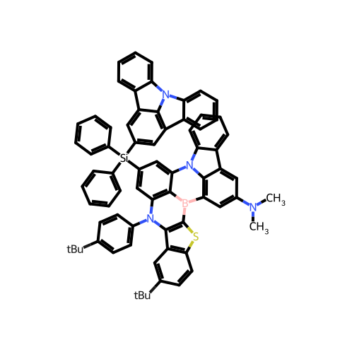 CN(C)c1cc2c3c(c1)c1ccccc1n3-c1cc([Si](c3ccccc3)(c3ccccc3)c3cc4c5ccccc5n5c6ccccc6c(c3)c45)cc3c1B2c1sc2ccc(C(C)(C)C)cc2c1N3c1ccc(C(C)(C)C)cc1